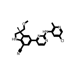 COC[C@@]1(C)CNc2c(C#N)cc(-c3ccnc(Nc4cc(Cl)cnc4C)n3)cc21